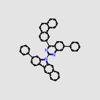 c1ccc(-c2ccc3c(-c4ccc5ccc6ccccc6c5c4)nc(-n4c5cc(-c6ccccc6)ccc5c5cc6ccccc6cc54)nc3c2)cc1